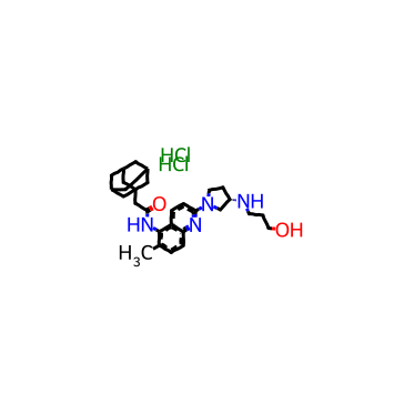 Cc1ccc2nc(N3CC[C@H](NCCCO)C3)ccc2c1NC(=O)CC12CC3CC(CC(C3)C1)C2.Cl.Cl